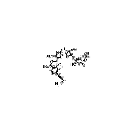 CC(C)(C)[C@@H](OCC1=CN([C@H]2C[C@@H](O)[C@@H](COP(=O)(O)OP(=O)(O)OP(=O)(O)O)O2)C(N)N=C1N)c1ccc(C#CCN)cc1[N+](=O)[O-]